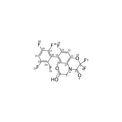 O=C(O)CN1C(=O)C(F)(F)Oc2cc(F)c(-c3c(F)c(F)cc(F)c3F)cc21